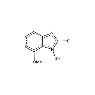 COc1cccc2nc(Cl)n(C(C)C)c12